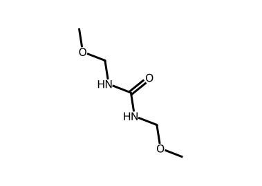 COCNC(=O)NCOC